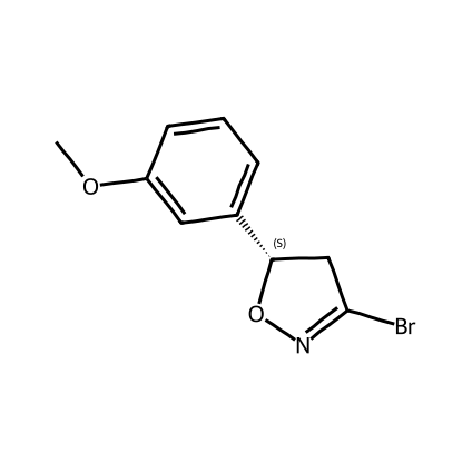 COc1cccc([C@@H]2CC(Br)=NO2)c1